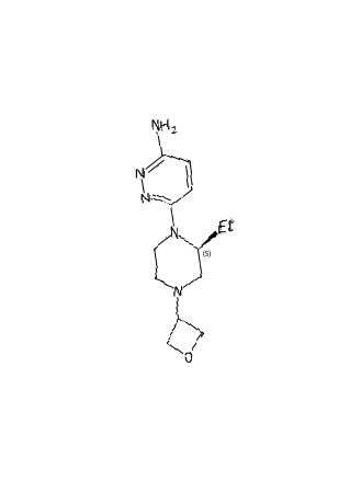 CC[C@H]1CN(C2COC2)CCN1c1ccc(N)nn1